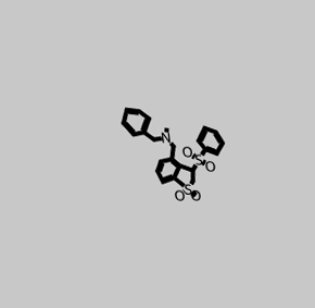 CN(Cc1ccccc1)Cc1cccc2c1C(S(=O)(=O)c1ccccc1)CS2(=O)=O